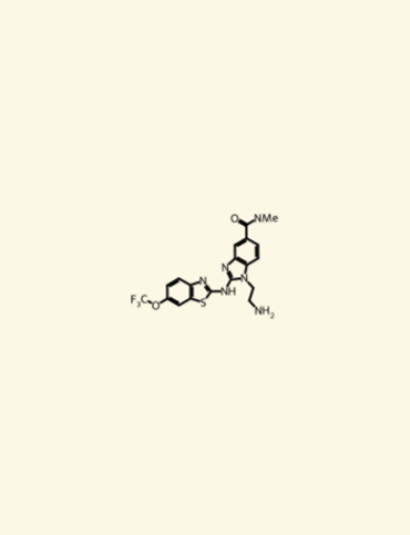 CNC(=O)c1ccc2c(c1)nc(Nc1nc3ccc(OC(F)(F)F)cc3s1)n2CCN